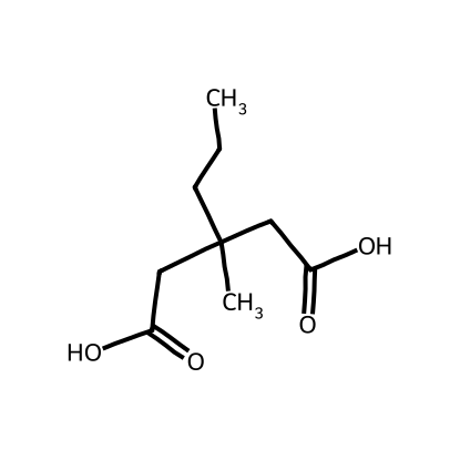 CCCC(C)(CC(=O)O)CC(=O)O